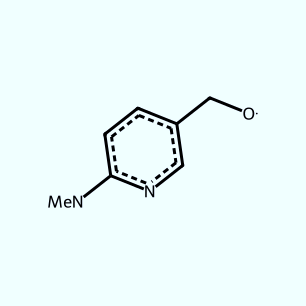 CNc1ccc(C[O])cn1